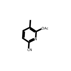 CC(=O)Oc1nc(C#N)ccc1C